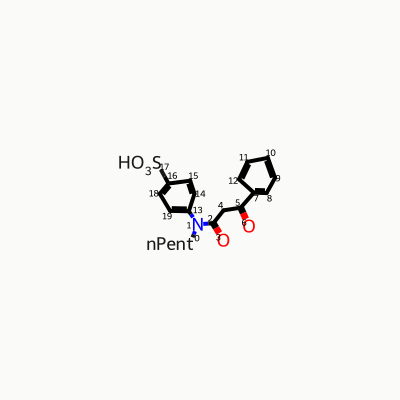 CCCCCN(C(=O)CC(=O)c1ccccc1)c1ccc(S(=O)(=O)O)cc1